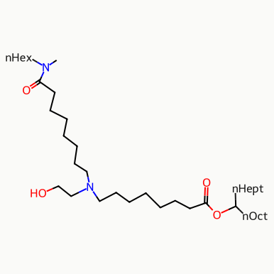 CCCCCCCCC(CCCCCCC)OC(=O)CCCCCCCN(CCO)CCCCCCCC(=O)N(C)CCCCCC